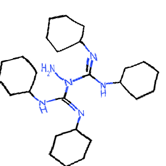 NN(C(=NC1CCCCC1)NC1CCCCC1)C(=NC1CCCCC1)NC1CCCCC1